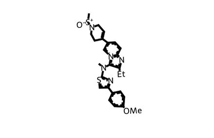 CCc1nc2ccc(C3=CCN([S+](C)[O-])CC3)cn2c1N(C)c1nc(-c2ccc(OC)cc2)cs1